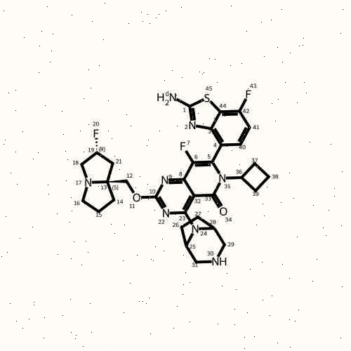 Nc1nc2c(-c3c(F)c4nc(OC[C@@]56CCCN5C[C@H](F)C6)nc(N5C6CCC5CNC6)c4c(=O)n3C3CCC3)ccc(F)c2s1